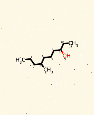 CCCC(C)CCCC(O)CC